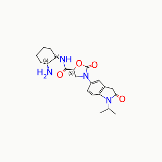 CC(C)N1C(=O)Cc2cc(N3C[C@@H](C(=O)N[C@H]4CCCC[C@@H]4N)OC3=O)ccc21